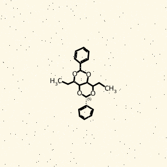 CCC1O[C@H](c2ccccc2)OC2C(CC)OC(c3ccccc3)OC12